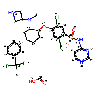 CN(C1CNC1)[C@H]1C[C@@H](c2cccc(C(F)(F)F)c2)CC[C@@H]1Oc1cc(F)c(S(=O)(=O)Nc2ccncn2)cc1Cl.O=CO